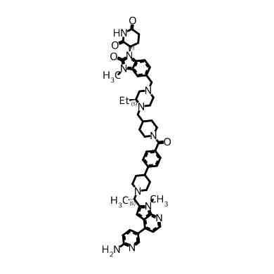 CC[C@H]1CN(Cc2ccc3c(c2)n(C)c(=O)n3[C@@H]2CCC(=O)NC2=O)CCN1CC1CCN(C(=O)c2ccc(C3CCN([C@@H](C)c4cc5c(-c6ccc(N)nc6)ccnc5n4C)CC3)cc2)CC1